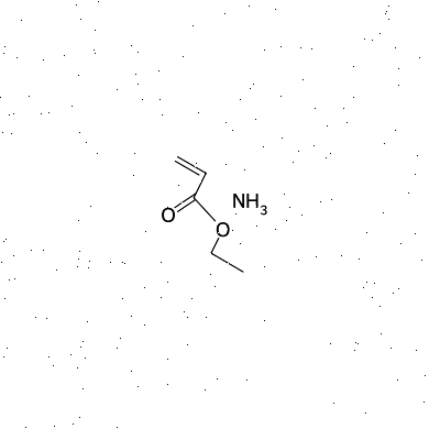 C=CC(=O)OCC.N